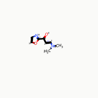 CN(C)/C=C/C(=O)c1ncco1